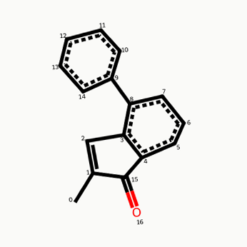 CC1=Cc2c(cccc2-c2ccccc2)C1=O